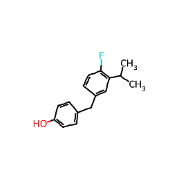 CC(C)c1cc(Cc2ccc(O)cc2)ccc1F